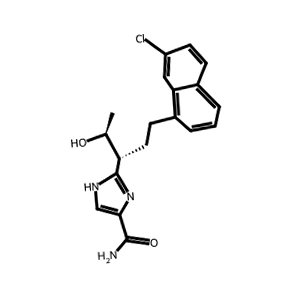 C[C@H](O)[C@H](CCc1cccc2ccc(Cl)cc12)c1nc(C(N)=O)c[nH]1